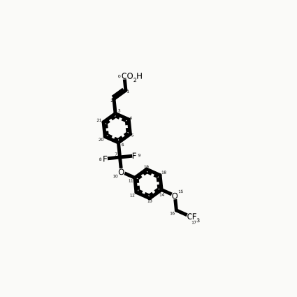 O=C(O)/C=C/c1ccc(C(F)(F)Oc2ccc(OCC(F)(F)F)cc2)cc1